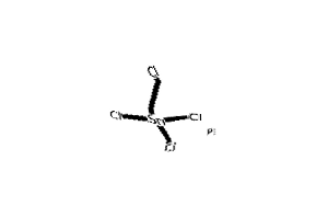 [Cl][Sn]([Cl])([Cl])[Cl].[P]